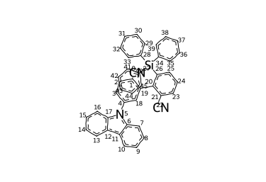 N#Cc1ccc(-n2c3ccccc3c3ccccc32)cc1-c1c(C#N)cccc1[Si](c1ccccc1)(c1ccccc1)c1ccccc1